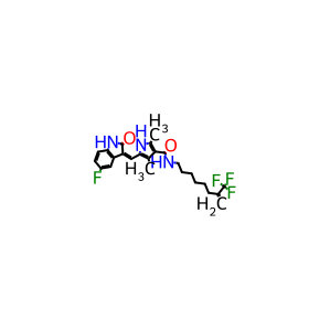 C=C(CCCCCCNC(=O)c1c(C)[nH]c(/C=C2\C(=O)Nc3ccc(F)cc32)c1C)C(F)(F)F